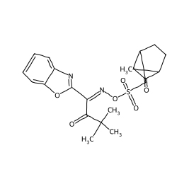 CC(C)(C)C(=O)/C(=N\OS(=O)(=O)CC1(C)C2CCC1C(=O)C2)c1nc2ccccc2o1